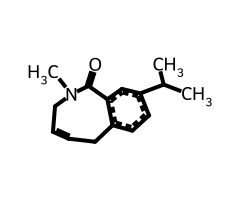 CC(C)c1ccc2c(c1)C(=O)N(C)C/C=C\C2